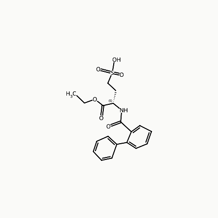 CCOC(=O)[C@H](CCS(=O)(=O)O)NC(=O)c1ccccc1-c1ccccc1